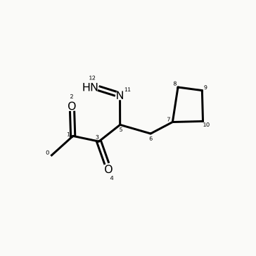 CC(=O)C(=O)C(CC1CCC1)N=N